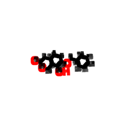 O=C1Cc2ccc(OCc3ccccc3)c(O)c2CO1